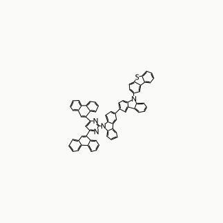 c1ccc2c(c1)cc(-c1cc(-c3cc4ccccc4c4ccccc34)nc(-n3c4ccccc4c4cc(-c5ccc6c(c5)c5ccccc5n6-c5ccc6sc7ccccc7c6c5)ccc43)n1)c1ccccc12